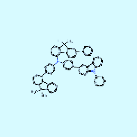 CC1(C)c2ccccc2-c2c(-c3ccc(N(c4ccc(-c5ccc6c(c5)c5ccccc5n6-c5ccccc5)cc4)c4cccc5c4-c4ccc(-c6ccccc6)cc4C5(C)C)cc3)cccc21